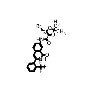 CC1(C)O[C@H](CBr)[C@H](C(=O)Nc2ccc3cc(-c4ccccc4C(F)(F)F)[nH]c(=O)c3c2)O1